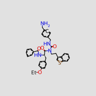 CCOc1ccc(C[C@@H](NC(=O)c2ccccc2)C(=O)N(CCc2csc3ccccc23)C(=O)NCc2ccc(CN)cc2)cc1